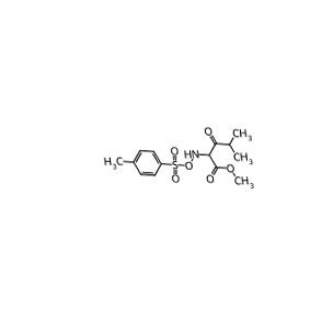 COC(=O)C(NOS(=O)(=O)c1ccc(C)cc1)C(=O)C(C)C